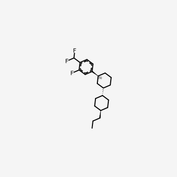 CCC[C@H]1CC[C@H](C2CCC[C@H](c3ccc(C(F)F)c(F)c3)C2)CC1